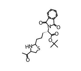 CC(=O)C1CSC(CCC[C@@H](C(=O)OC(C)(C)C)N2C(=O)c3ccccc3C2=O)N1